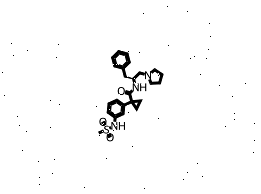 CS(=O)(=O)Nc1cccc(C2(C(=O)N[C@@H](Cc3ccccc3)CN3CCCC3)CC2)c1